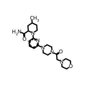 CC1CCN(c2[c]ccc(N3CCN(C(=O)CN4CCOCC4)CC3)n2)C(C(N)=O)C1